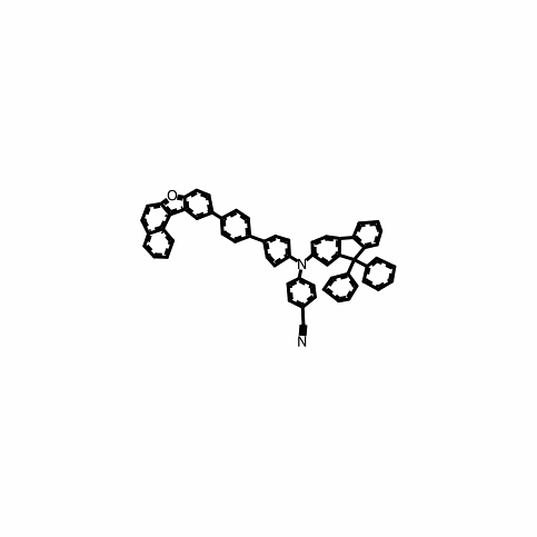 N#Cc1ccc(N(c2ccc(-c3ccc(-c4ccc5oc6ccc7ccccc7c6c5c4)cc3)cc2)c2ccc3c(c2)C(c2ccccc2)(c2ccccc2)c2ccccc2-3)cc1